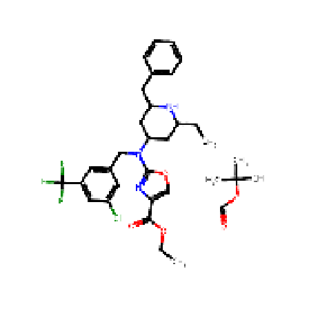 CC(C)(C)OC=O.CCOC(=O)c1coc(N(Cc2cc(Cl)cc(C(F)(F)F)c2)C2CC(CC)NC(Cc3ccccc3)C2)n1